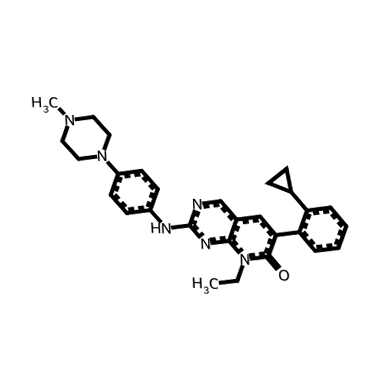 CCn1c(=O)c(-c2ccccc2C2CC2)cc2cnc(Nc3ccc(N4CCN(C)CC4)cc3)nc21